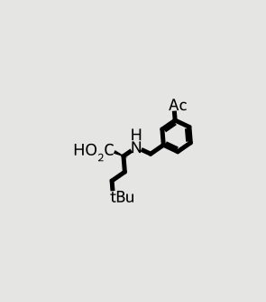 CC(=O)c1cccc(CN[C@@H](CCC(C)(C)C)C(=O)O)c1